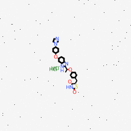 CC(Oc1ccc(CC2SC(=O)NC2=O)cc1)c1nc2ccc(Oc3ccc(-n4ccnc4)cc3)cc2[nH]1.Cl.Cl